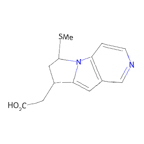 CSC1CC(CC(=O)O)c2cc3cnccc3n21